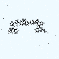 COC(=O)NC(CN1CCC[C@H]1c1ncc(-c2ccc3c(c2)C(F)(F)c2cc(-c4ccc(-c5cnc([C@@H]6CCCN6C(=O)[C@H](NC(=O)OC)c6ccccc6)[nH]5)cc4)ccc2-3)[nH]1)C1CCOCC1